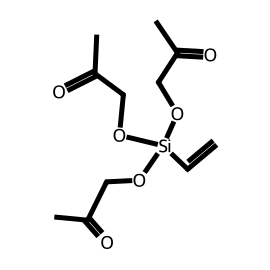 C=C[Si](OCC(C)=O)(OCC(C)=O)OCC(C)=O